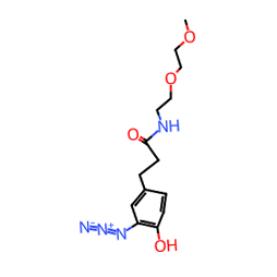 COCCOCCNC(=O)CCc1ccc(O)c(N=[N+]=[N-])c1